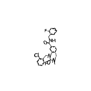 CN1Cc2ccc(C(=O)NCc3ccccc3F)cc2N(Cc2c(F)cccc2Cl)C1=O